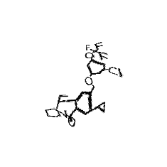 O=C(c1cc(C2CC2)c(COc2cc(Cl)cc(OC(F)(F)F)c2)cc1F)N1CCCC1